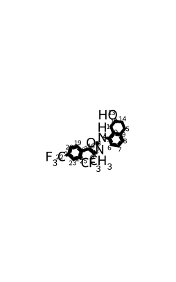 Cc1nc(Nc2cccc3c2CC(O)CC3)oc1-c1ccc(C(F)(F)F)cc1C(F)(F)F